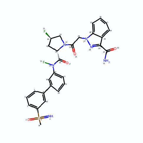 CS(=N)(=O)c1cccc(-c2cccc(N(F)C(=O)[C@@H]3C[C@@H](F)CN3C(=O)Cn3nc(C(N)=O)c4ccccc43)c2)c1